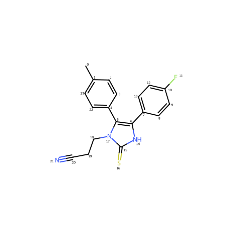 Cc1ccc(-c2c(-c3ccc(F)cc3)[nH]c(=S)n2CCC#N)cc1